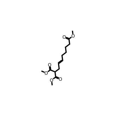 COC(=O)CCCCC=CCC(C(=O)OC)C(=O)OC